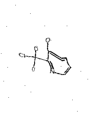 [O]c1cccnc1C(Cl)(Cl)Cl